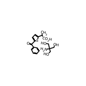 CC(C(=O)O)c1ccc(C(=O)c2ccccc2)s1.NC(CO)(CO)CO